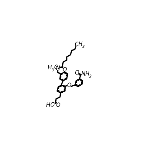 CCCCCCCC(=O)N(C)Cc1cccc(-c2ccc(CCC(=O)O)cc2OCc2cccc(C(N)=O)c2)c1